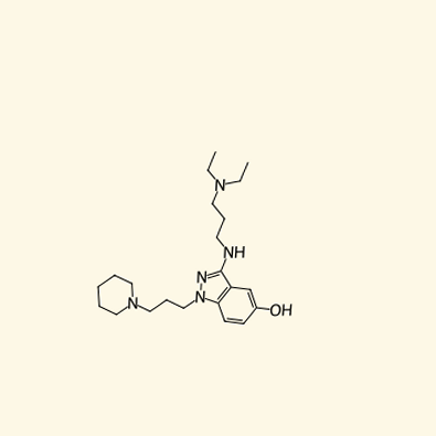 CCN(CC)CCCNc1nn(CCCN2CCCCC2)c2ccc(O)cc12